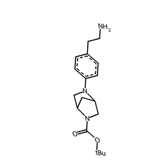 CC(C)(C)OC(=O)N1CC2CC1CN2c1ccc(CCN)cc1